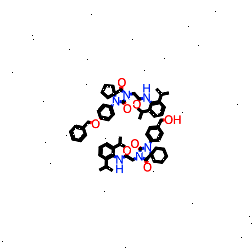 CC(C)c1cccc(C(C)C)c1NC(=O)CN1C(=O)N(c2ccc(CO)cc2)C2(CCCCC2)C1=O.CC(C)c1cccc(C(C)C)c1NC(=O)CN1C(=O)N(c2ccc(OCc3ccccc3)cc2)C2(CCCC2)C1=O